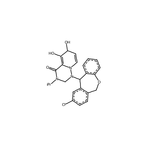 CC(C)N1CN(C2c3cc(Cl)ccc3COc3ccccc32)N2C=CC(O)C(O)=C2C1=O